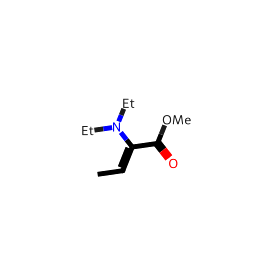 CC=C(C(=O)OC)N(CC)CC